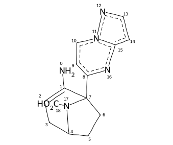 NC1=CCC2CCC1(c1ccn3nccc3n1)N2C(=O)O